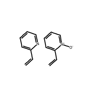 C=Cc1cccc[n+]1[O-].C=Cc1ccccn1